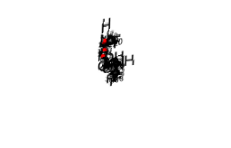 CS(=O)(=O)[N+]1(CC(O)CN2CCC(c3c[nH]c4ccc(F)cc34)CC2)CCc2[nH]nc(-c3ccc(C(F)(F)F)cc3)c2C1